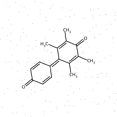 CC1=C(C)C(=C2C=CC(=O)C=C2)C(C)=C(C)C1=O